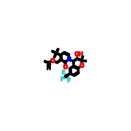 C[SiH](C)OCc1c(C(C)(C)C)ccn([C@@H]2c3cc(C(F)(F)F)ccc3OC(C)(C)[C@H]2O)c1=O